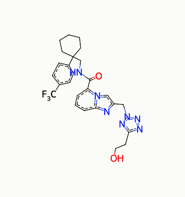 O=C(NCC1(c2ccc(C(F)(F)F)cc2)CCCCC1)c1cccc2nc(Cn3nnc(CCO)n3)cn12